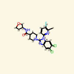 Cc1nc(-n2c(N3CCC(C(=O)NC4CCOC4)CC3)nc3cc(Cl)c(Cl)cc32)ccc1F